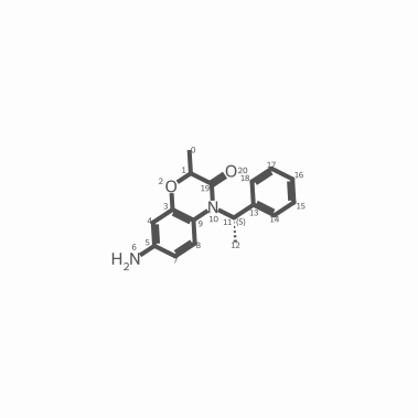 CC1Oc2cc(N)ccc2N([C@@H](C)c2ccccc2)C1=O